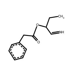 CCC(C=N)OC(=O)Cc1ccccc1